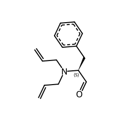 C=CCN(CC=C)[C@H](C=O)Cc1ccccc1